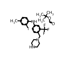 CC(C)(C)OC=O.Cc1ccc(Nc2ccc(CN3CCNCC3)c(C(F)(F)F)c2)c(I)c1